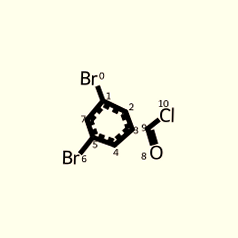 Brc1cccc(Br)c1.O=CCl